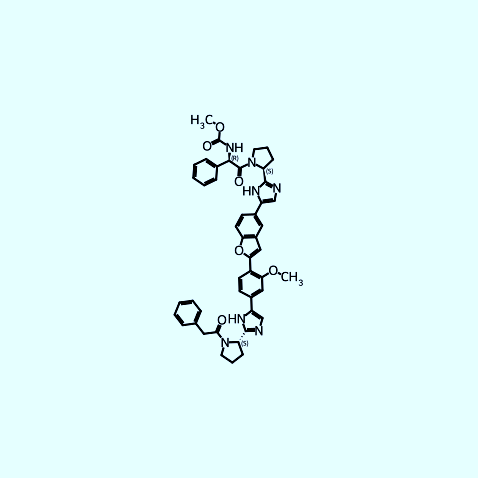 COC(=O)N[C@@H](C(=O)N1CCC[C@H]1c1ncc(-c2ccc3oc(-c4ccc(-c5cnc([C@@H]6CCCN6C(=O)Cc6ccccc6)[nH]5)cc4OC)cc3c2)[nH]1)c1ccccc1